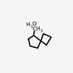 CC1CCCC12CCC2.O